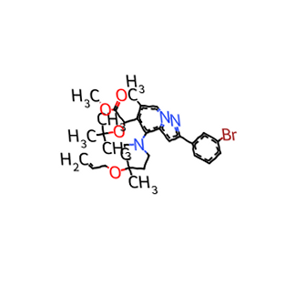 C=CCOC1(C)CCN(c2c(C(OC(C)(C)C)C(=O)OC)c(C)cn3nc(-c4cccc(Br)c4)cc23)CC1